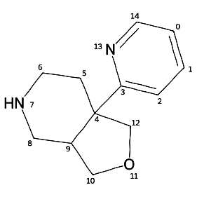 c1ccc(C23CCNCC2COC3)nc1